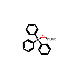 CCCCCCCCCC[O][Sn]([c]1ccccc1)([c]1ccccc1)[c]1ccccc1